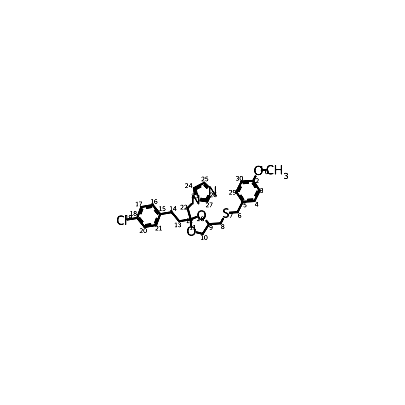 COc1ccc(CSCC2COC(CCc3ccc(Cl)cc3)(Cn3ccnc3)O2)cc1